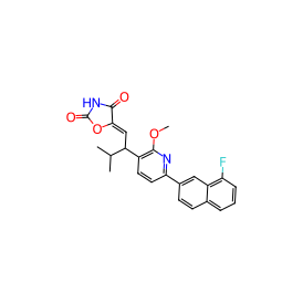 COc1nc(-c2ccc3cccc(F)c3c2)ccc1C(C=C1OC(=O)NC1=O)C(C)C